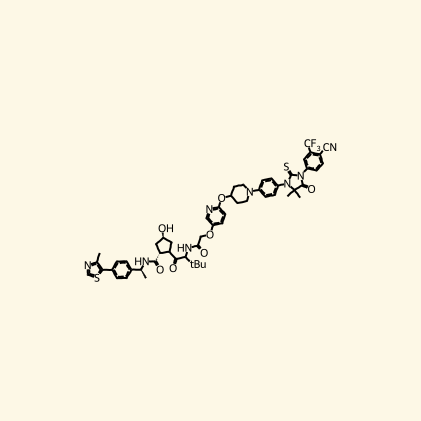 Cc1ncsc1-c1ccc([C@H](C)NC(=O)[C@@H]2C[C@@H](O)CC2C(=O)C(NC(=O)COc2ccc(OC3CCN(c4ccc(N5C(=S)N(c6ccc(C#N)c(C(F)(F)F)c6)C(=O)C5(C)C)cc4)CC3)nc2)C(C)(C)C)cc1